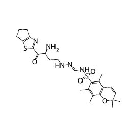 Cc1c(C)c(S(=O)(=O)NC=NNCC[C@H](N)C(=O)c2nc3c(s2)CCC3)c(C)c2c1OC(C)(C)C=C2